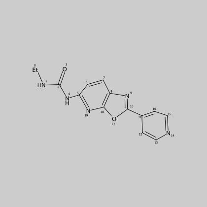 CCNC(=O)Nc1ccc2nc(-c3ccncc3)oc2n1